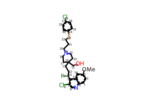 COc1ccc2ncc(Cl)c([C@@H](F)CCC3(CO)CCN(CCCSc4ccc(Cl)cc4)CC3)c2c1